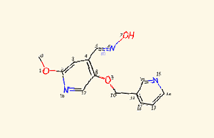 COc1cc(/C=N/O)c(OCc2cccnc2)cn1